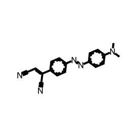 CN(C)c1ccc(N=Nc2ccc(C(C#N)=CC#N)cc2)cc1